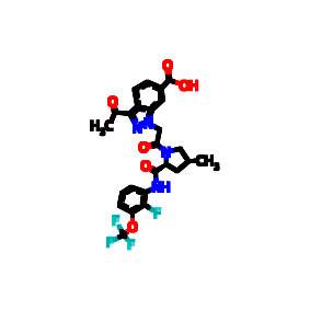 CC(=O)c1nn(CC(=O)N2C[C@@H](C)C[C@H]2C(=O)Nc2cccc(OC(F)(F)F)c2F)c2cc(C(=O)O)ccc12